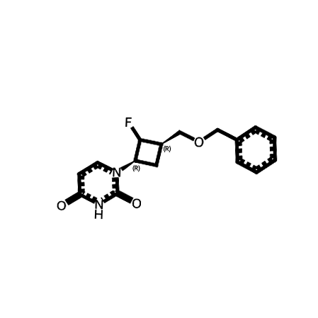 O=c1ccn([C@@H]2C[C@H](COCc3ccccc3)C2F)c(=O)[nH]1